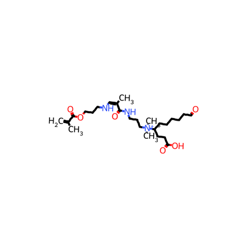 C=C(C)C(=O)OCCCNC=C(C)C(=O)NCCC[N+](C)(C)C(CCCCCC=O)CCC(=O)O